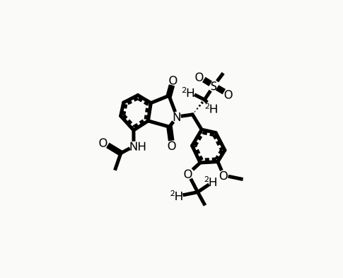 [2H]C([2H])(C)Oc1cc([C@H](N2C(=O)c3cccc(NC(C)=O)c3C2=O)C([2H])([2H])S(C)(=O)=O)ccc1OC